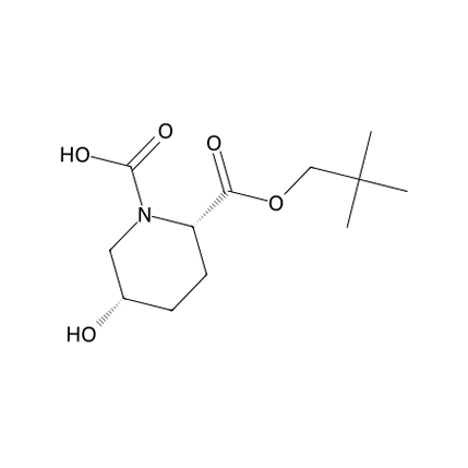 CC(C)(C)COC(=O)[C@@H]1CC[C@H](O)CN1C(=O)O